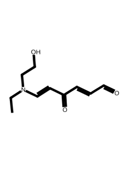 CCN(C=CC(=O)C=CC=O)CCO